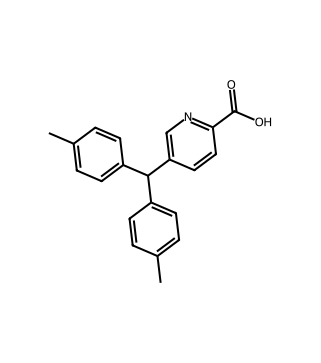 Cc1ccc(C(c2ccc(C)cc2)c2ccc(C(=O)O)nc2)cc1